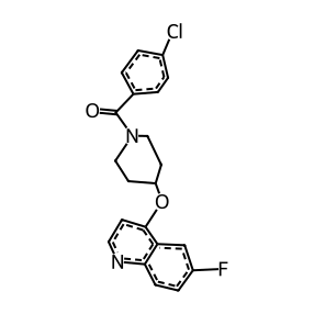 O=C(c1ccc(Cl)cc1)N1CCC(Oc2ccnc3ccc(F)cc23)CC1